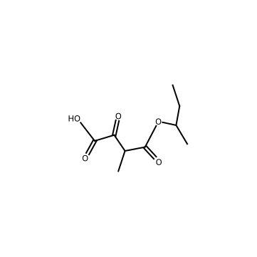 CCC(C)OC(=O)C(C)C(=O)C(=O)O